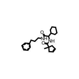 CC1(C(=O)NC(C(=O)NCCCc2ccccc2)C2CCCCC2)CC=CC1